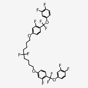 Fc1ccc(OC(F)(F)c2ccc(OCCCCC(F)(F)CCCCOc3ccc(C(F)(F)Oc4ccc(F)c(F)c4)c(F)c3)cc2F)cc1F